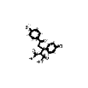 O=C(CC(c1ccc(Cl)cc1)C(C(=O)O)C(=O)O)c1ccc(Br)cc1